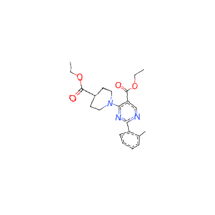 CCOC(=O)c1cnc(-c2ccccc2C)nc1N1CCC(C(=O)OCC)CC1